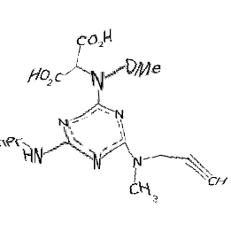 C#CCN(C)c1nc(NCCC)nc(N(OC)C(C(=O)O)C(=O)O)n1